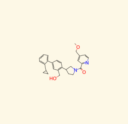 COCc1ccnc(C(=O)N2CCC(c3ccc(-c4ccccc4C4CC4)cc3CO)C2)c1